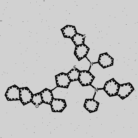 c1ccc(N(c2ccc3ccccc3c2)c2cc(N(c3ccccc3)c3ccc4c(c3)sc3ccccc34)c3sc4ccc(-c5cc6c7cc8ccccc8cc7oc6c6ccccc56)cc4c3c2)cc1